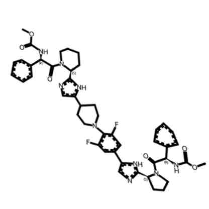 COC(=O)N[C@@H](C(=O)N1CCC[C@H]1c1ncc(-c2cc(F)c(N3CCC(c4cnc([C@@H]5CCCCN5C(=O)[C@H](NC(=O)OC)c5ccccc5)[nH]4)CC3)c(F)c2)[nH]1)c1ccccc1